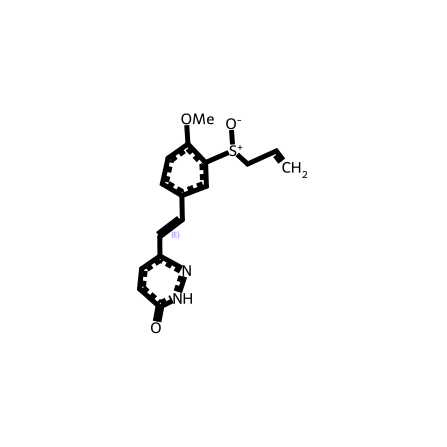 C=CC[S+]([O-])c1cc(/C=C/c2ccc(=O)[nH]n2)ccc1OC